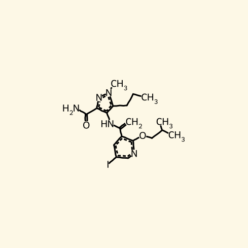 C=C(Nc1c(C(N)=O)nn(C)c1CCC)c1cc(I)cnc1OCC(C)C